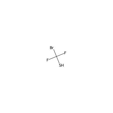 FC(F)(S)Br